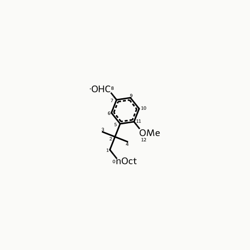 CCCCCCCCCC(C)(C)c1cc([C]=O)ccc1OC